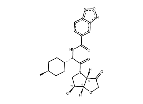 C[C@H]1CC[C@H](C(NC(=O)c2ccc3nonc3c2)C(=O)N2C[C@H](Cl)[C@H]3OCC(=O)[C@H]32)CC1